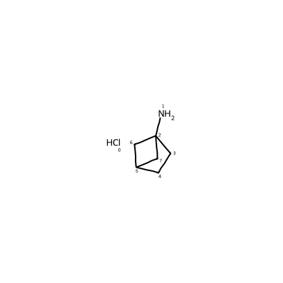 Cl.NC12CCC(C1)C2